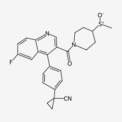 C[S+]([O-])C1CCN(C(=O)c2cnc3ccc(F)cc3c2-c2ccc(C3(C#N)CC3)cc2)CC1